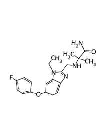 CCn1c(CNC(C)(C)C(N)=O)nc2c1=CC(Oc1ccc(F)cc1)CC=2